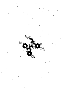 Cc1ccc(-c2nc(CCN)cn2C(c2oc3cc(C#N)ccc3c(=O)c2Cc2cccc(C#N)c2)C(C)C)cc1F